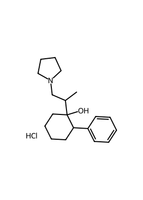 CC(CN1CCCC1)C1(O)CCCCC1c1ccccc1.Cl